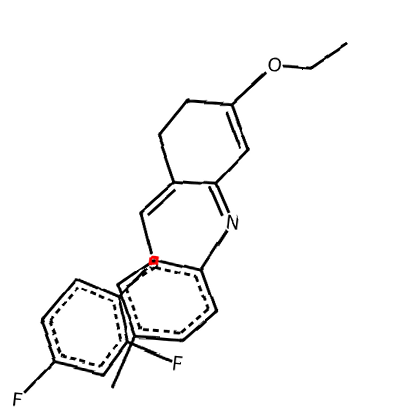 CCOC1=CC(=N/c2ccc(C)cc2)/C(=C\Sc2ccc(F)cc2F)CC1